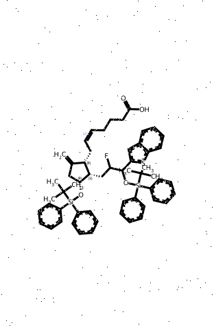 C=C1C[C@@H](O[Si](c2ccccc2)(c2ccccc2)C(C)(C)C)[C@@H](CC(F)C(O[Si](c2ccccc2)(c2ccccc2)C(C)(C)C)c2cc3ccccc3s2)[C@H]1C/C=C\CCCC(=O)O